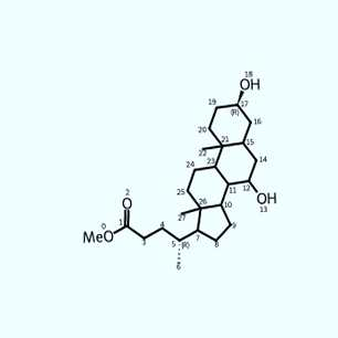 COC(=O)CC[C@@H](C)C1CCC2C3C(O)CC4C[C@H](O)CCC4(C)C3CCC21C